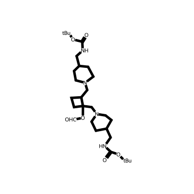 CC(C)(C)OC(=O)NCC1CCN(CC2CCC2(CN2CCC(CNC(=O)OC(C)(C)C)CC2)OC=O)CC1